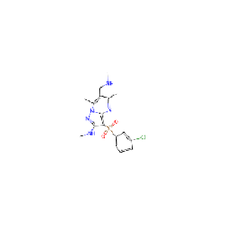 CNCc1c(C)nc2c(S(=O)(=O)c3cccc(Cl)c3)c(NC)nn2c1C